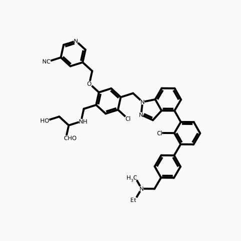 CCN(C)Cc1ccc(-c2cccc(-c3cccc4c3cnn4Cc3cc(OCc4cncc(C#N)c4)c(CNC(C=O)CO)cc3Cl)c2Cl)cc1